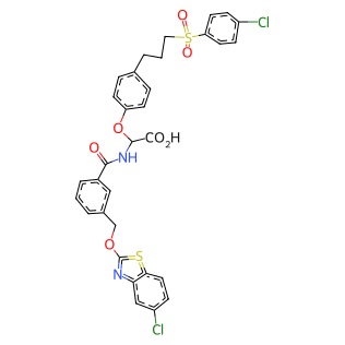 O=C(NC(Oc1ccc(CCCS(=O)(=O)c2ccc(Cl)cc2)cc1)C(=O)O)c1cccc(COc2nc3cc(Cl)ccc3s2)c1